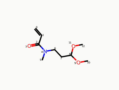 C=CC(=O)N(C)CCC(OC)OC